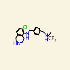 CC(NCc1ccc(CNc2c(Cl)ccc3c2CCNCC3)cc1)C(F)(F)F